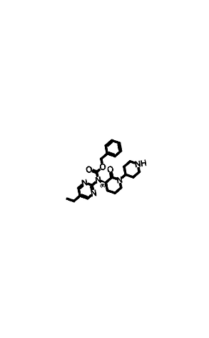 CCc1cnc(N(C(=O)OCc2ccccc2)[C@@H]2CCCN(C3CCNCC3)C2=O)nc1